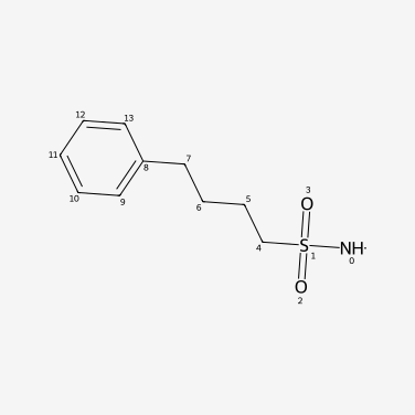 [NH]S(=O)(=O)CCCCc1ccccc1